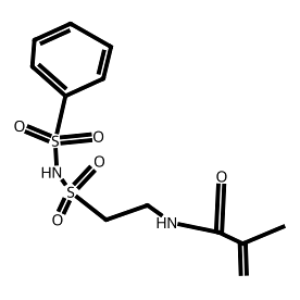 C=C(C)C(=O)NCCS(=O)(=O)NS(=O)(=O)c1ccccc1